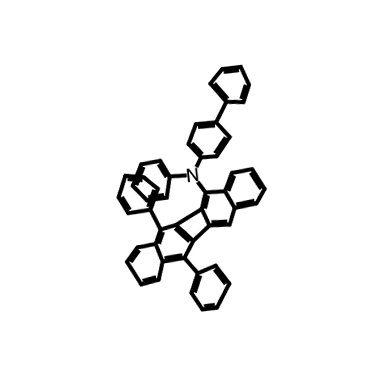 c1ccc(-c2ccc(N(c3ccccc3)c3c4c(cc5ccccc35)-c3c-4c(-c4ccccc4)c4ccccc4c3-c3ccccc3)cc2)cc1